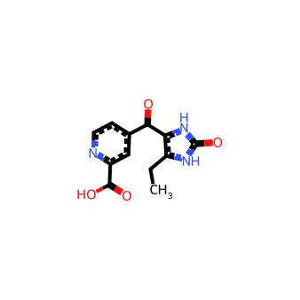 CCc1[nH]c(=O)[nH]c1C(=O)c1ccnc(C(=O)O)c1